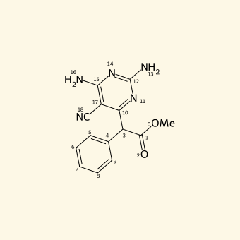 COC(=O)C(c1ccccc1)c1nc(N)nc(N)c1C#N